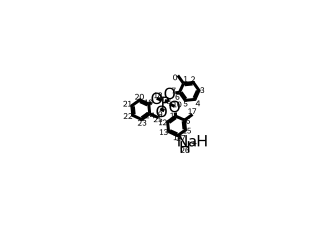 Cc1ccccc1OP(=O)(Oc1ccccc1C)Oc1ccccc1C.[H+].[NaH]